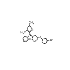 Cc1cnc(-n2c3ccccc3c3ccc(Oc4cccc(Br)c4)cc32)c(C)c1